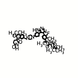 Cc1c([C@@H](C)NC(=O)c2noc(C(C)(C)C)n2)ccc(-c2ncnc3[nH]c4cc(N5CCN(Cc6ccc7c(c6)N(C6CCC(=O)NC6=O)C(=O)C7(C)C)CC5)ccc4c23)c1F